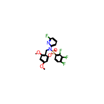 COc1ccc(CN(c2cccc(F)n2)S(=O)(=O)c2ccc(F)c(F)c2F)c(OC)c1